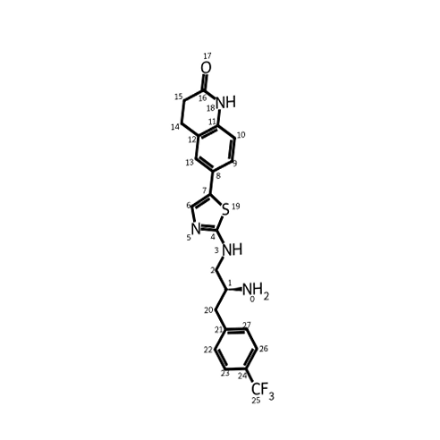 N[C@H](CNc1ncc(-c2ccc3c(c2)CCC(=O)N3)s1)Cc1ccc(C(F)(F)F)cc1